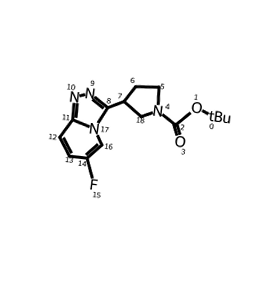 CC(C)(C)OC(=O)N1CCC(c2nnc3ccc(F)cn23)C1